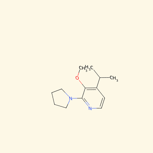 COc1c(C(C)C)ccnc1N1CCCC1